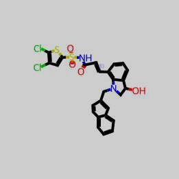 O=C(/C=C/c1cccc2c1N(Cc1ccc3ccccc3c1)CC2O)NS(=O)(=O)c1cc(Cl)c(Cl)s1